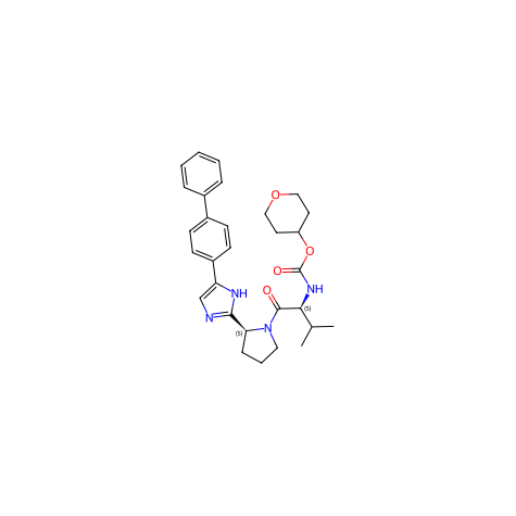 CC(C)[C@H](NC(=O)OC1CCOCC1)C(=O)N1CCC[C@H]1c1ncc(-c2ccc(-c3ccccc3)cc2)[nH]1